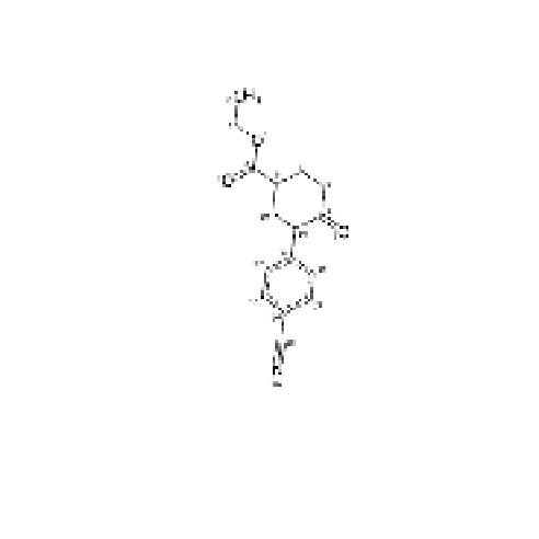 CCOC(=O)C1CCC(=O)C(c2ccc(C#N)cc2)C1